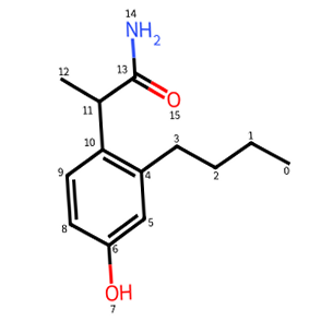 CCCCc1cc(O)ccc1C(C)C(N)=O